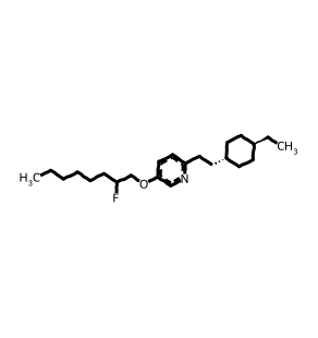 CCCCCCC(F)COc1ccc(CC[C@H]2CC[C@H](CC)CC2)nc1